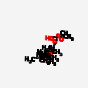 C=C(C)C(=O)OC(CO)COCCC[Si](C)(C)C(CC)O[Si](C)(C)C(C)(CC)O[Si](C)(C)CCCC